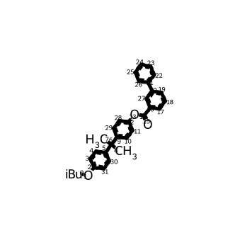 CCC(C)Oc1ccc(C(C)(C)c2ccc(OC(=O)c3cccc(-c4ccccc4)c3)cc2)cc1